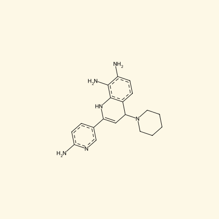 Nc1ccc(C2=CC(N3CCCCC3)c3ccc(N)c(N)c3N2)cn1